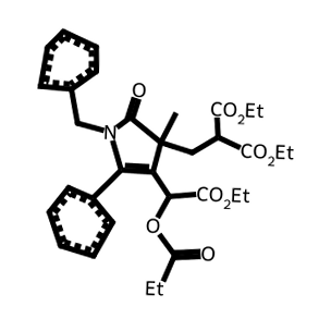 CCOC(=O)C(CC1(C)C(=O)N(Cc2ccccc2)C(c2ccccc2)=C1C(OC(=O)CC)C(=O)OCC)C(=O)OCC